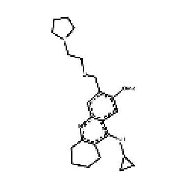 COc1cc2c(NC3CC3)c3c(nc2cc1COCCN1CCCC1)CCCC3